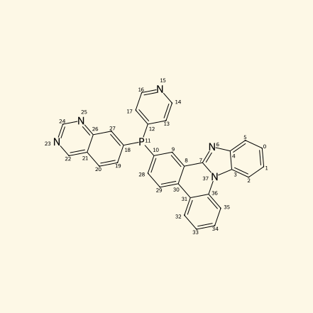 c1ccc2c(c1)nc1c3cc(P(c4ccncc4)c4ccc5cncnc5c4)ccc3c3ccccc3n21